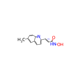 Cc1ccc2nc(/C=C/C(=O)NO)ccc2c1